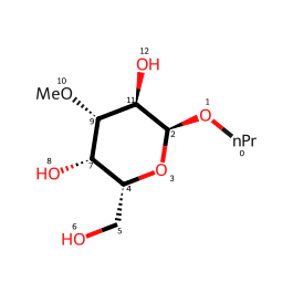 CCCO[C@H]1O[C@H](CO)[C@H](O)[C@H](OC)[C@H]1O